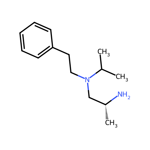 CC(C)N(CCc1ccccc1)C[C@@H](C)N